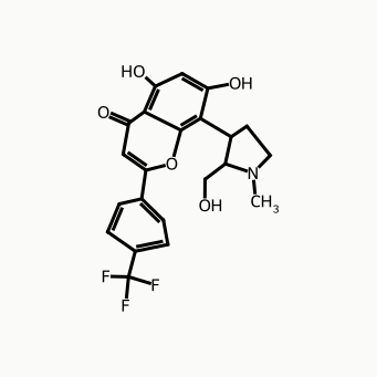 CN1CCC(c2c(O)cc(O)c3c(=O)cc(-c4ccc(C(F)(F)F)cc4)oc23)C1CO